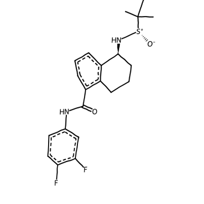 CC(C)(C)[S@+]([O-])N[C@H]1CCCc2c(C(=O)Nc3ccc(F)c(F)c3)cccc21